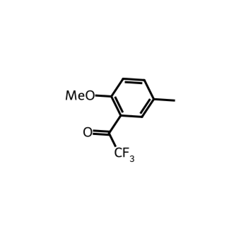 COc1ccc(C)cc1C(=O)C(F)(F)F